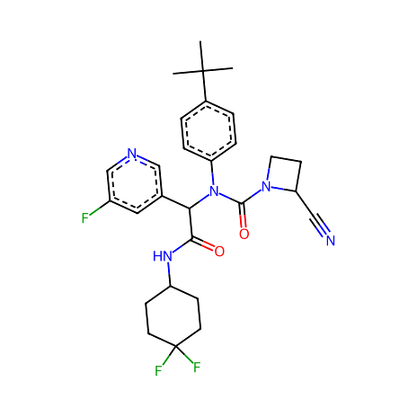 CC(C)(C)c1ccc(N(C(=O)N2CCC2C#N)C(C(=O)NC2CCC(F)(F)CC2)c2cncc(F)c2)cc1